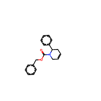 O=C(OCc1ccccc1)N1CC=CCC1c1ccccc1